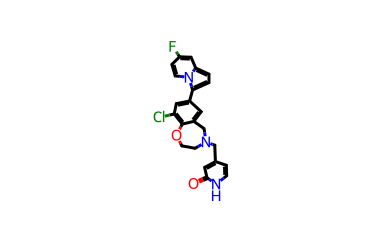 O=c1cc(CN2CCOc3c(Cl)cc(-c4ccc5cc(F)ccn45)cc3C2)cc[nH]1